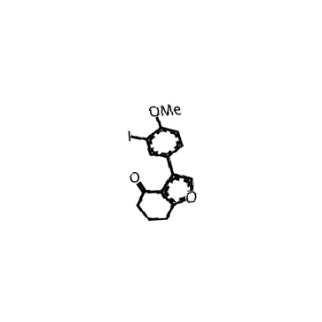 COc1ccc(-c2coc3c2C(=O)CCC3)cc1I